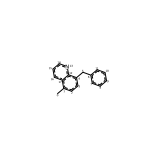 Cc1ccc(Cc2ccccc2)c2ncccc12